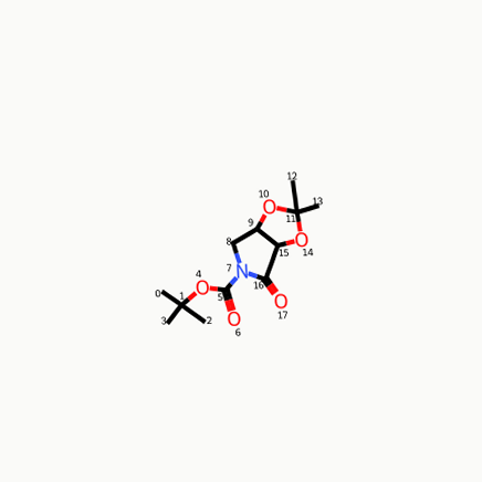 CC(C)(C)OC(=O)N1CC2OC(C)(C)OC2C1=O